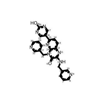 O=c1c(NCc2cccnc2)nc2ccc(-c3cnc(O)nc3)nc2n1Cc1cccnc1